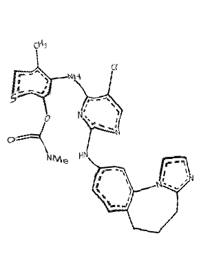 CNC(=O)Oc1scc(C)c1Nc1nc(Nc2ccc3c(c2)-n2ccnc2CCC3)ncc1Cl